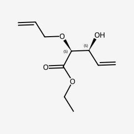 C=CCO[C@H](C(=O)OCC)[C@@H](O)C=C